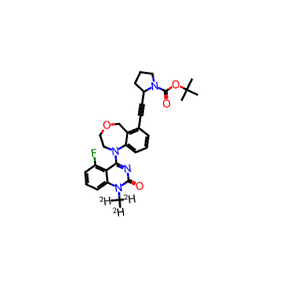 [2H]C([2H])([2H])n1c(=O)nc(N2CCOCc3c(C#CC4CCCN4C(=O)OC(C)(C)C)cccc32)c2c(F)cccc21